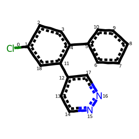 Clc1ccc(-c2ccccc2)c(-c2ccnnc2)c1